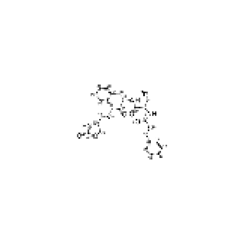 CC(C)CC(NC(=O)OCc1ccccc1)C(=O)NC(Cc1ccccc1)C(=O)CSCC1COC(=O)N1